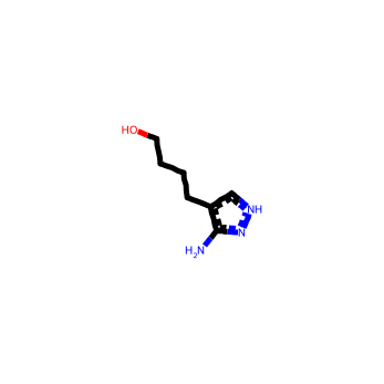 Nc1n[nH]cc1CCCCO